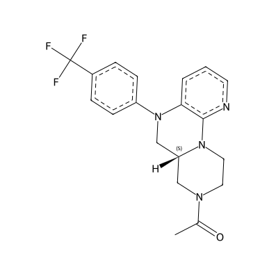 CC(=O)N1CCN2c3ncccc3N(c3ccc(C(F)(F)F)cc3)C[C@H]2C1